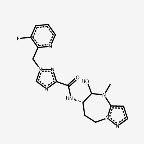 CN1c2ccnn2CC[C@H](NC(=O)c2ncn(Cc3ncccc3F)n2)C1O